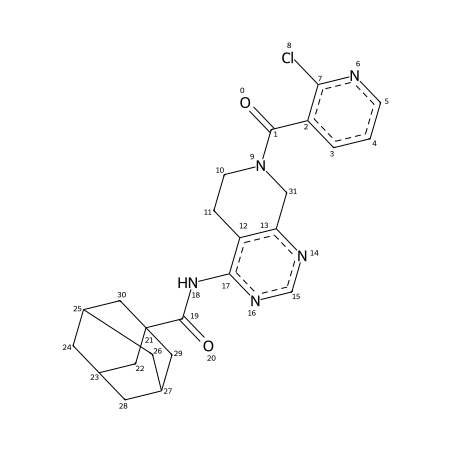 O=C(c1cccnc1Cl)N1CCc2c(ncnc2NC(=O)C23CC4CC(CC(C4)C2)C3)C1